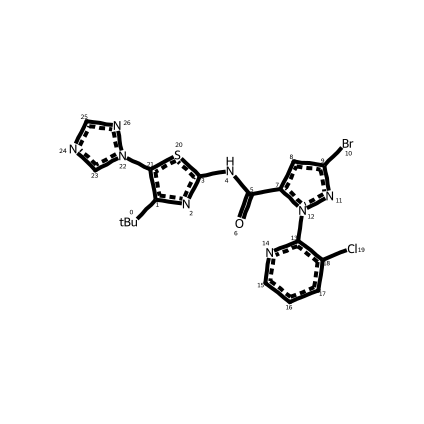 CC(C)(C)c1nc(NC(=O)c2cc(Br)nn2-c2ncccc2Cl)sc1-n1cncn1